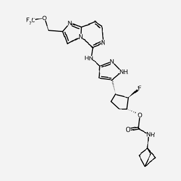 O=C(NC12CC(C1)C2)O[C@@H]1CC[C@H](c2cc(Nc3nccc4nc(COC(F)(F)F)cn34)n[nH]2)[C@H]1F